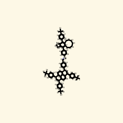 CC(C)(C)c1ccc(C2=CC(c3ccc(/C=N/c4ccc(-c5c6c(c(-c7ccc(C(C)(C)C)cc7)c7nsnc57)CCCCCCC6)cc4)cc3)c3ccc4c5c(ccc2c35)C(c2ccc(C(C)(C)C)cc2)=CC4c2ccc(C(C)(C)C)cc2)cc1